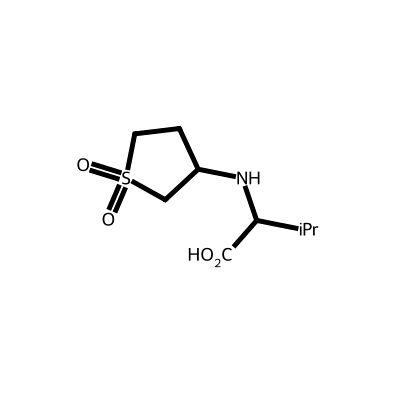 CC(C)C(NC1CCS(=O)(=O)C1)C(=O)O